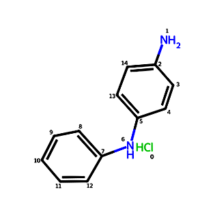 Cl.Nc1ccc(Nc2ccccc2)cc1